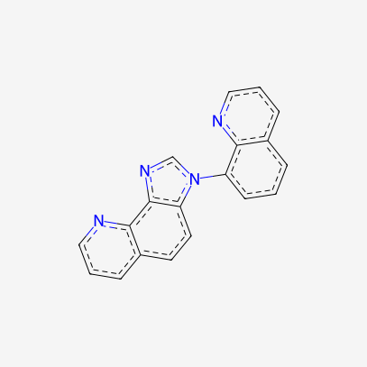 c1cnc2c(-n3cnc4c5ncccc5ccc43)cccc2c1